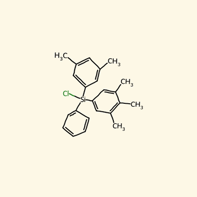 Cc1cc(C)cc([Si](Cl)(c2ccccc2)c2cc(C)c(C)c(C)c2)c1